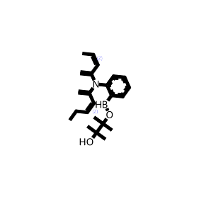 C=C(/C=C\C)N(C(=C)/C=C\CC)c1ccccc1BOC(C)(C)C(C)(C)O